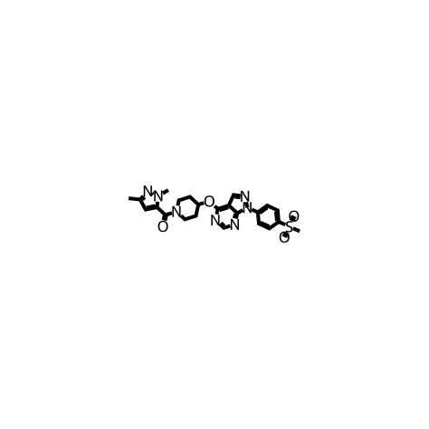 Cc1cc(C(=O)N2CCC(Oc3ncnc4c3cnn4-c3ccc(S(C)(=O)=O)cc3)CC2)n(C)n1